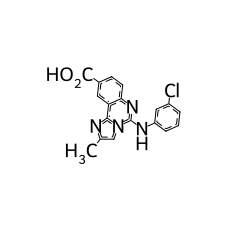 Cc1cn2c(Nc3cccc(Cl)c3)nc3ccc(C(=O)O)cc3c2n1